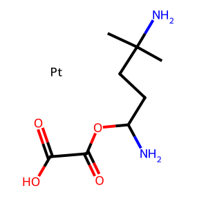 CC(C)(N)CCC(N)OC(=O)C(=O)O.[Pt]